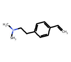 C=Cc1ccc(CCN(C)[SiH3])cc1